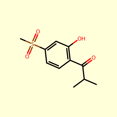 CC(C)C(=O)c1ccc(S(C)(=O)=O)cc1O